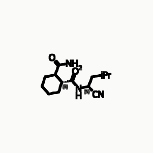 CC(C)C[C@@H](C#N)NC(=O)[C@@H]1CCCCC1C(N)=O